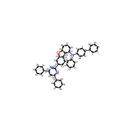 c1ccc(-c2ccc(N(c3ccccc3)c3cccc4oc5cc(-c6nc(-c7ccccc7)cc(-c7ccccc7)n6)ccc5c34)cc2)cc1